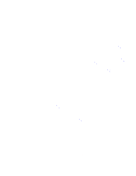 CCCCN1CN(Cc2ccc(-c3ccccc3-c3nnn[nH]3)cc2)C(CCC(C)C)=C1C(OC)OC